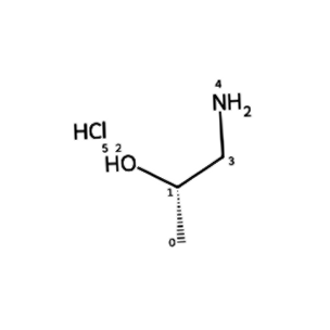 C[C@H](O)CN.Cl